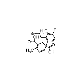 CC1=C(C(=O)O)CC(C(=O)O)(c2ccc(F)c(C)c2CCBr)C=C1